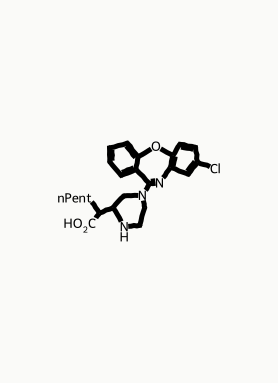 CCCCCC(C(=O)O)C1CN(C2=Nc3cc(Cl)ccc3Oc3ccccc32)CCN1